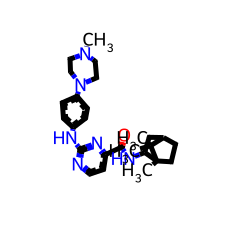 CN1CCN(c2ccc(Nc3nccc(C(=O)NC4CC5CCC4(C)C5(C)C)n3)cc2)CC1